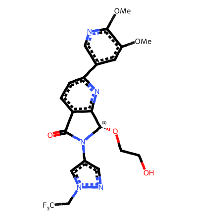 COc1cc(-c2ccc3c(n2)[C@H](OCCO)N(c2cnn(CC(F)(F)F)c2)C3=O)cnc1OC